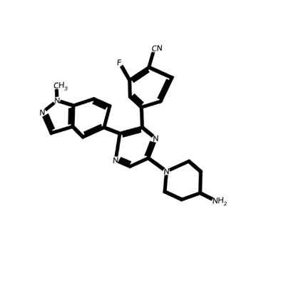 Cn1ncc2cc(-c3ncc(N4CCC(N)CC4)nc3-c3ccc(C#N)c(F)c3)ccc21